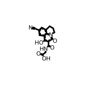 N#Cc1cc2c3c(c1)c(O)c(C(=O)NCC(=O)O)c(=O)n3CCC2